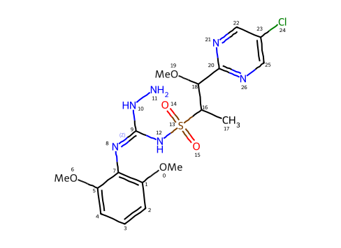 COc1cccc(OC)c1/N=C(/NN)NS(=O)(=O)C(C)C(OC)c1ncc(Cl)cn1